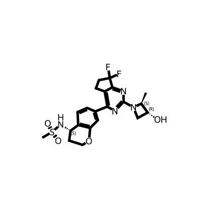 C[C@H]1[C@H](O)CN1c1nc(-c2ccc3c(c2)OCC[C@@H]3NS(C)(=O)=O)c2c(n1)C(F)(F)CC2